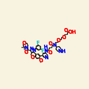 COc1cc2c(cc1-c1cncc(NC(=O)CCC(=O)N(CCOCCOCCC(=O)O)C3CCNCC3)c1)-c1c(c(C(=O)N3CCOCC3(C)C)nn1-c1cc(F)cc(F)c1)CO2